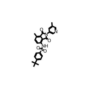 Cc1cncc(N2C(=O)c3c(C)ccc(NS(=O)(=O)c4ccc(C(C)(C)C)cc4)c3C2=O)c1